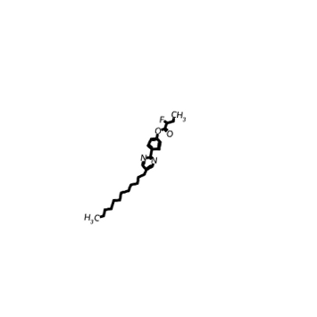 CCCCCCCCCCCCc1cnc(-c2ccc(OC(=O)C(F)CC)cc2)nc1